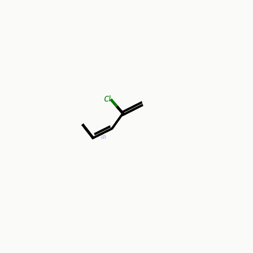 C=C(Cl)/C=C\C